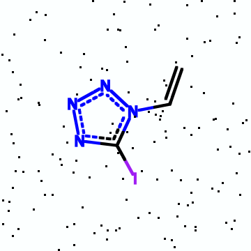 C=Cn1nnnc1I